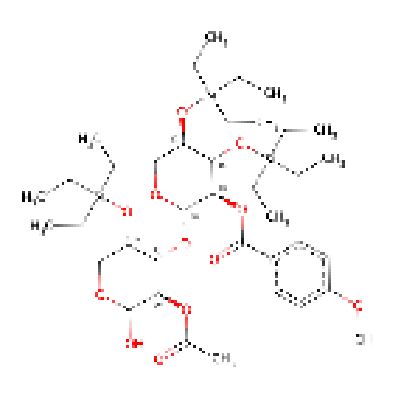 CC[Si](CC)(CC)O[C@@H]1[C@@H](OC(=O)c2ccc(OC)cc2)[C@H](O[C@H]2[C@@H](O[Si](CC)(CC)CC)COC(O)[C@@H]2OC(C)=O)OC[C@H]1O[Si](CC)(CC)CC